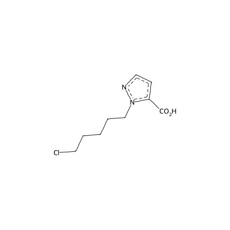 O=C(O)c1ccnn1CCCCCCl